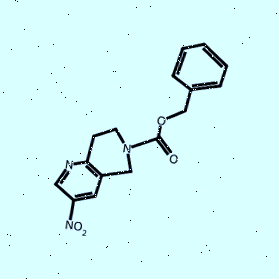 O=C(OCc1ccccc1)N1CCc2ncc([N+](=O)[O-])cc2C1